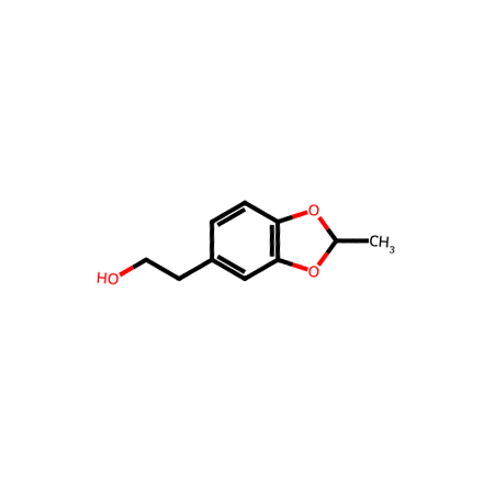 CC1Oc2ccc(CCO)cc2O1